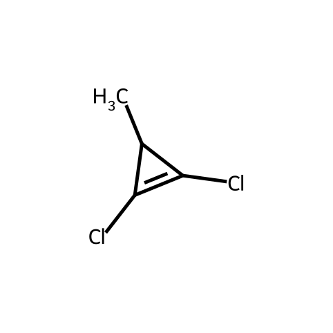 CC1C(Cl)=C1Cl